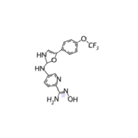 N/C(=N\O)c1ccc(NC2NC=C(c3ccc(OC(F)(F)F)cc3)O2)cn1